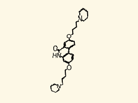 O=c1[nH]c2cc(OCCCCN3CCCCC3)ccc2c2ccc(OCCCCN3CCCCC3)cc12